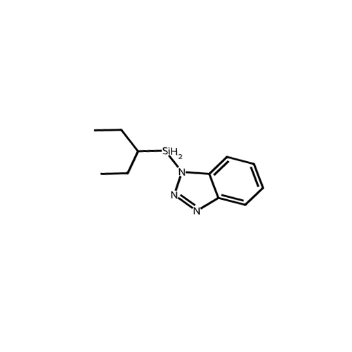 CCC(CC)[SiH2]n1nnc2ccccc21